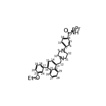 CCCNC(=O)c1ccc(N2CCN(Cc3ccc(-c4cccc(OCC)c4)c4ccccc34)CC2)cc1